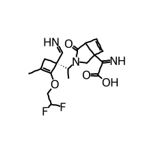 CC1=C(OCC(F)F)[C@@](C=N)(C(C)N2CC3(C(=N)C(=O)O)C=CC3C2=O)C1